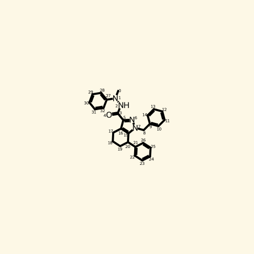 CN(NC(=O)c1nn(Cc2ccccc2)c2c1CCCC2c1ccccc1)c1ccccc1